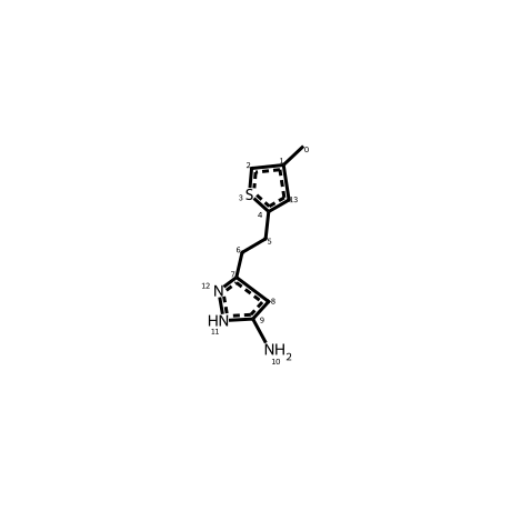 Cc1csc(CCc2cc(N)[nH]n2)c1